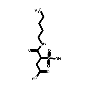 CCCCCNC(=O)C(CC(=O)O)S(=O)(=O)O